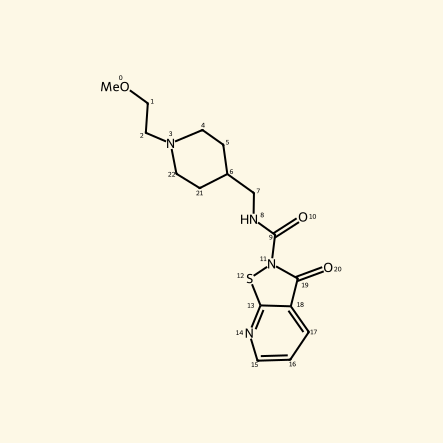 COCCN1CCC(CNC(=O)n2sc3ncccc3c2=O)CC1